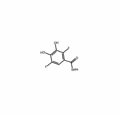 CNC(=O)c1cc(F)c(O)c(O)c1F